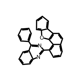 c1ccc(-c2nc(-c3cccc4ccc5c6ccccc6oc5c34)nc3ccccc23)cc1